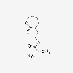 C=C(C)C(=O)OCCC1CCCCOC1=O